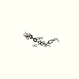 Cl.[2H]C([2H])([2H])n1cc(-c2ccc(-c3nc4sc(N(C)C5CCN(C)CC5)nc4s3)c(O)c2)cn1